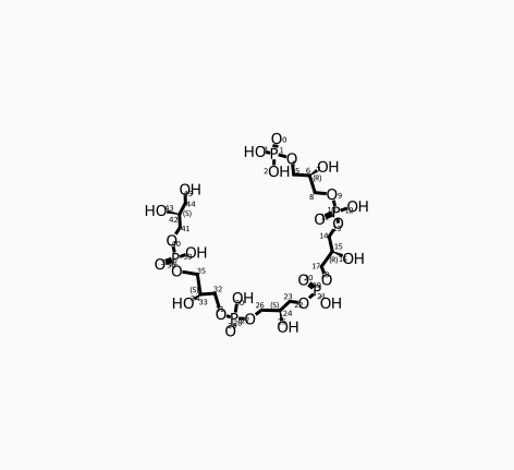 O=P(O)(O)OC[C@@H](O)COP(=O)(O)OC[C@@H](O)COP(=O)(O)OC[C@@H](O)COP(=O)(O)OC[C@@H](O)COP(=O)(O)OC[C@@H](O)CO